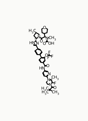 CC1C[C@@H](c2nc(-c3ccc(-c4ccc(C(=O)Nc5ccc(N6CCN(C(=O)C(C)(C)C)[C@H](F)[C@@H]6C)nc5)cc4OC(F)(F)F)cc3)c[nH]2)N(C(=O)C(C2CCOCC2)N(C)C(=O)O)C1